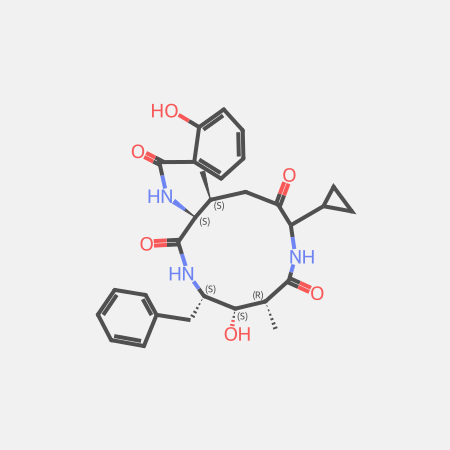 C[C@H]1CC(=O)C(C2CC2)NC(=O)[C@H](C)[C@H](O)[C@H](Cc2ccccc2)NC(=O)[C@H]1NC(=O)c1ccccc1O